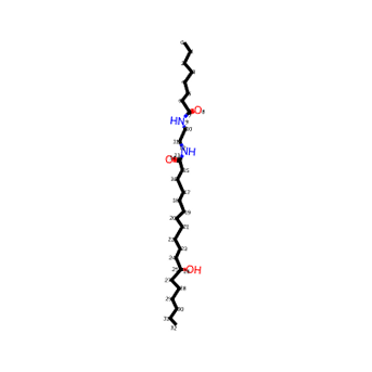 CCCCCCCC(=O)NCCNC(=O)CCCCCCCCCCC(O)CCCCCC